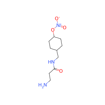 NCCC(=O)NCC1CCC(O[N+](=O)[O-])CC1